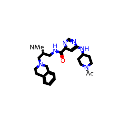 CNC(CNC(=O)c1cc(NC2CCN(C(C)=O)CC2)ncn1)CN1CCc2ccccc2C1